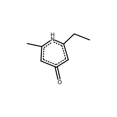 CCc1cc(=O)cc(C)[nH]1